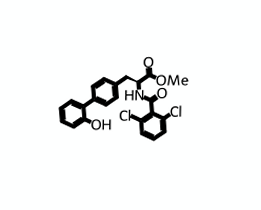 COC(=O)[C@H](Cc1ccc(-c2ccccc2O)cc1)NC(=O)c1c(Cl)cccc1Cl